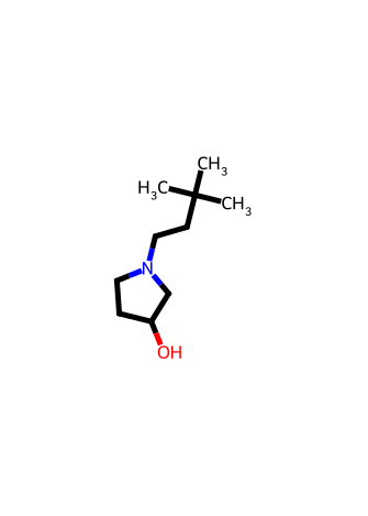 CC(C)(C)CCN1CCC(O)C1